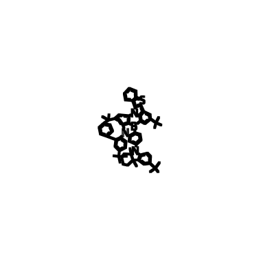 CC(C)(C)c1ccc2c(c1)-c1ccc(cc1)C(C)(C)c1cc3c4c(c1)-n1c5c(cc(C(C)(C)C)cc5c5sc6ccccc6c51)B4c1ccc(N4c5ccc(C(C)(C)C)cc5C5(C)CCCCC45C)cc1N23